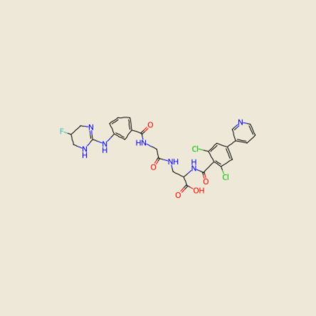 O=C(CNC(=O)c1cccc(NC2=NCC(F)CN2)c1)NCC(NC(=O)c1c(Cl)cc(-c2cccnc2)cc1Cl)C(=O)O